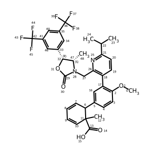 COc1ccc(C2C=CC=CC2(C)C(=O)O)cc1-c1ccc(C(C)C)nc1CN1C(=O)O[C@H](c2cc(C(F)(F)F)cc(C(F)(F)F)c2)[C@@H]1C